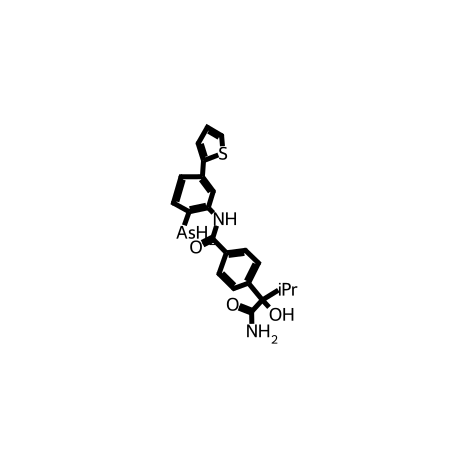 CC(C)C(O)(C(N)=O)c1ccc(C(=O)Nc2cc(-c3cccs3)ccc2[AsH2])cc1